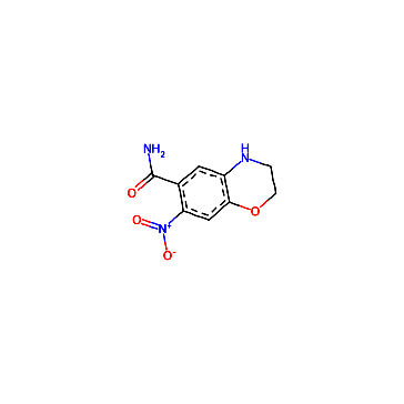 NC(=O)c1cc2c(cc1[N+](=O)[O-])OCCN2